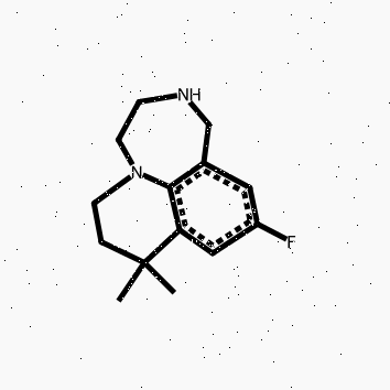 CC1(C)CCN2CCNCc3cc(F)cc1c32